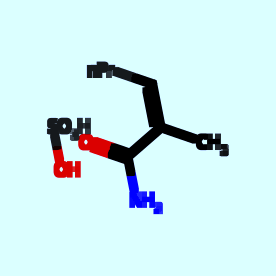 CCCC=C(C)C(N)=O.O=S(=O)(O)O